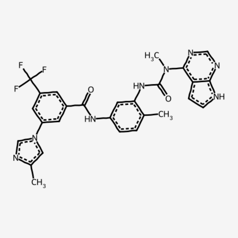 Cc1cn(-c2cc(C(=O)Nc3ccc(C)c(NC(=O)N(C)c4ncnc5[nH]ccc45)c3)cc(C(F)(F)F)c2)cn1